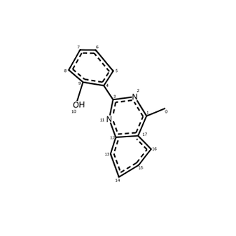 Cc1nc(-c2ccccc2O)nc2ccccc12